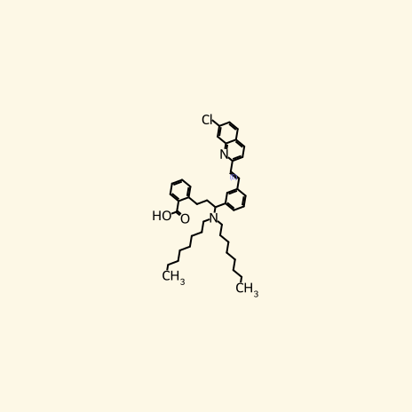 CCCCCCCCN(CCCCCCCC)C(CCc1ccccc1C(=O)O)c1cccc(/C=C/c2ccc3ccc(Cl)cc3n2)c1